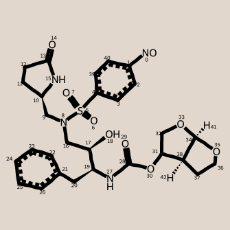 O=Nc1ccc(S(=O)(=O)N(C[C@H]2CCC(=O)N2)C[C@@H](O)[C@H](Cc2ccccc2)NC(=O)OC2CO[C@H]3OCC[C@@H]23)cc1